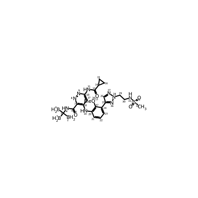 BC(B)(B)NC(=O)c1nnc(NC(=O)C2CC2)cc1Nc1cccc(-c2cnn(CCNS(C)(=O)=O)n2)c1OC